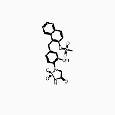 CS(=O)(=O)Oc1ccc2ccccc2c1Cc1ccc(N2CC(=O)NS2(=O)=O)c(O)c1